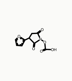 O=C(O)ON1C(=O)CC(c2ccco2)C1=O